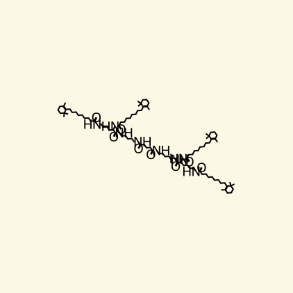 CC1=C(CCCCCCCCC(=O)NCCCCC(NC(=O)CCCCCCCCC2=C(C)CCCC2(C)C)C(=O)NCCCCCNC(=O)CCCC(=O)NCCCCCNC(=O)C(CCCCNC(=O)CCCCCCCCC2=C(C)CCCC2(C)C)NC(=O)CCCCCCCCC2=C(C)CCCC2(C)C)C(C)(C)CCC1